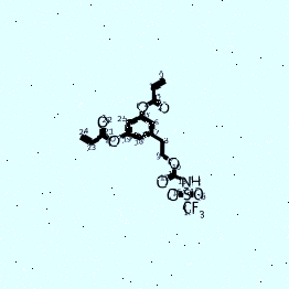 C=CC(=O)Oc1cc(CCOC(=O)NS(=O)(=O)C(F)(F)F)cc(OC(=O)C=C)c1